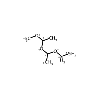 COC(C)OC(C)O[SiH2][SiH3]